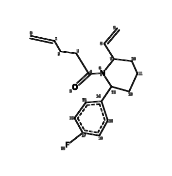 C=CCCC(=O)N1C(C=C)CCCC1c1ccc(F)cc1